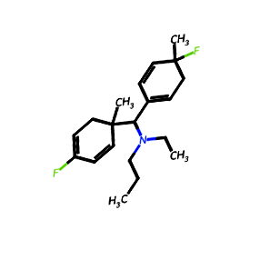 CCCN(CC)C(C1=CCC(C)(F)C=C1)C1(C)C=CC(F)=CC1